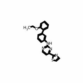 CCOc1ccccc1-c1cccc(Nc2nccc(-c3nccs3)n2)c1